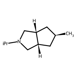 CC(C)N1C[C@H]2C[C@H](C)C[C@H]2C1